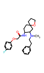 CN(CCc1ccccc1)C1CC2(CCCO2)CCC1NC(=O)COc1ccc(F)cc1